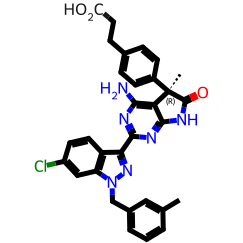 Cc1cccc(Cn2nc(-c3nc(N)c4c(n3)NC(=O)[C@]4(C)c3ccc(CCC(=O)O)cc3)c3ccc(Cl)cc32)c1